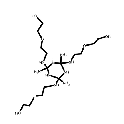 NC1(NCCOCCO)NC(N)(NCCOCCO)NC(N)(NCCOCCO)N1